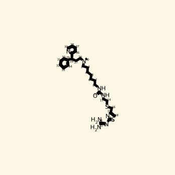 CN(CCCCCCCNC(=O)NCCSCc1csc(N=C(N)N)n1)CCC(c1ccccc1)c1ccccn1